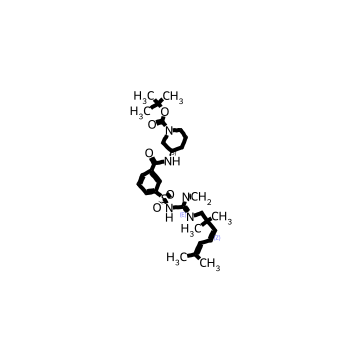 C=N/C(=N\CC(C)(C)/C=C\C=C(C)C)NS(=O)(=O)c1cccc(C(=O)N[C@H]2CCCN(C(=O)OC(C)(C)C)C2)c1